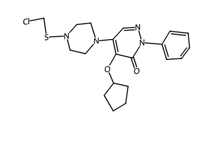 O=c1c(OC2CCCC2)c(N2CCN(SCCl)CC2)cnn1-c1ccccc1